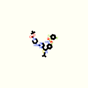 CC(C)c1nc(-c2ccc(F)c(NS(=O)(=O)c3cc(F)ccc3F)c2)c(-c2ccnc(NC3CCN(C(=O)OC(C)(C)C)CC3)n2)s1